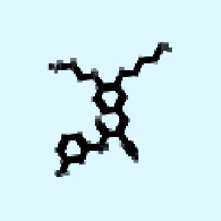 CCCCOc1cc(C=C(C#N)C(=O)Nc2cccc(Cl)c2)ccc1OCOC